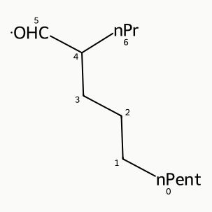 CCCCCCCCC([C]=O)CCC